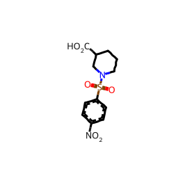 O=C(O)C1CCCN(S(=O)(=O)c2ccc([N+](=O)[O-])cc2)C1